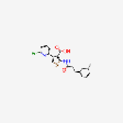 Cc1cccc(CCC(=O)Nc2scc(-c3cccc(Br)n3)c2C(=O)O)c1